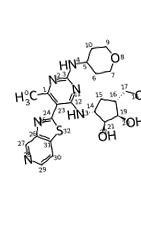 Cc1nc(NC2CCOCC2)nc(N[C@@H]2C[C@H](CO)[C@@H](O)[C@H]2O)c1-c1nc2cnccc2s1